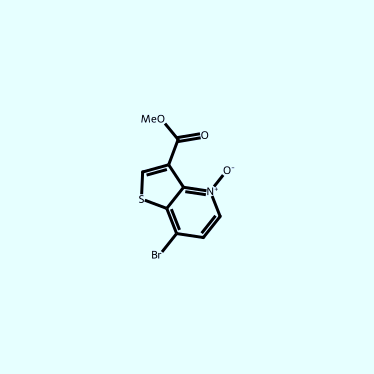 COC(=O)c1csc2c(Br)cc[n+]([O-])c12